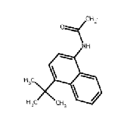 [CH2]C(=O)Nc1ccc(C(C)(C)C)c2ccccc12